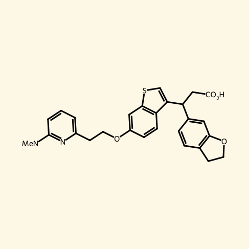 CNc1cccc(CCOc2ccc3c(C(CC(=O)O)c4ccc5c(c4)OCC5)csc3c2)n1